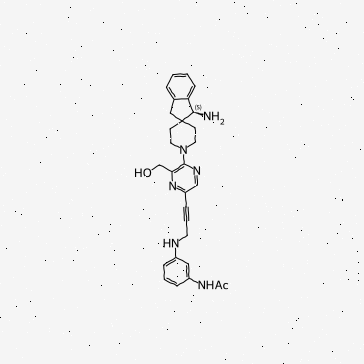 CC(=O)Nc1cccc(NCC#Cc2cnc(N3CCC4(CC3)Cc3ccccc3[C@H]4N)c(CO)n2)c1